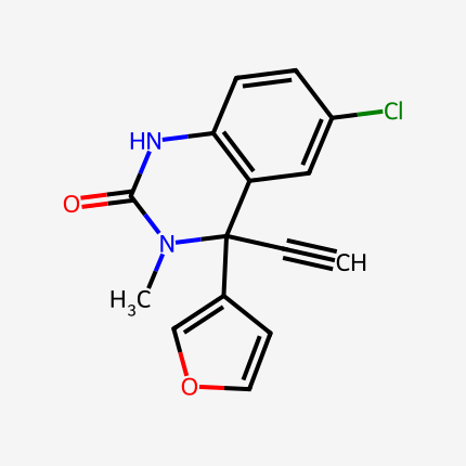 C#CC1(c2ccoc2)c2cc(Cl)ccc2NC(=O)N1C